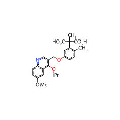 COc1ccc2ncc(COc3ccc(C)c(C(C)(C(=O)O)C(=O)O)c3)c(OC(C)C)c2c1